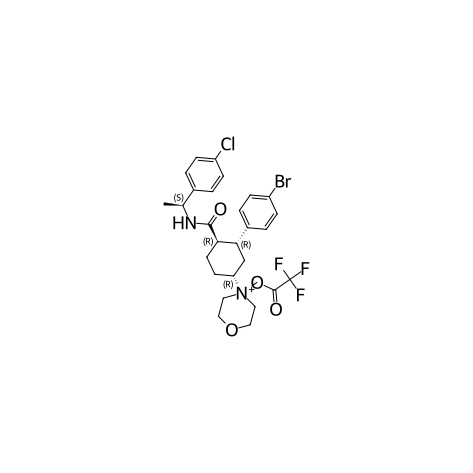 C[C@H](NC(=O)[C@@H]1CC[C@@H]([N+]2(OC(=O)C(F)(F)F)CCOCC2)C[C@H]1c1ccc(Br)cc1)c1ccc(Cl)cc1